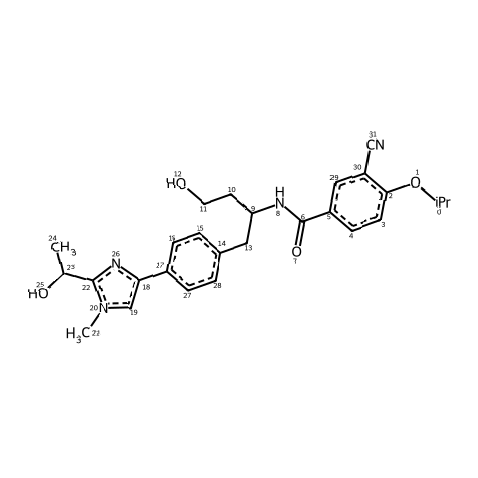 CC(C)Oc1ccc(C(=O)NC(CCO)Cc2ccc(-c3cn(C)c(C(C)O)n3)cc2)cc1C#N